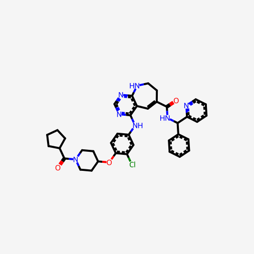 O=C(NC(c1ccccc1)c1ccccn1)C1=Cc2c(ncnc2Nc2ccc(OC3CCN(C(=O)C4CCCC4)CC3)c(Cl)c2)NCC1